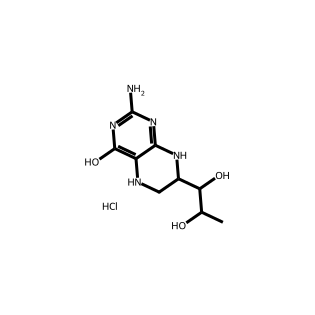 CC(O)C(O)C1CNc2c(O)nc(N)nc2N1.Cl